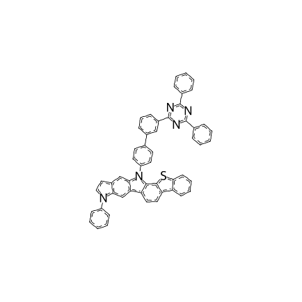 c1ccc(-c2nc(-c3ccccc3)nc(-c3cccc(-c4ccc(-n5c6cc7ccn(-c8ccccc8)c7cc6c6ccc7c8ccccc8sc7c65)cc4)c3)n2)cc1